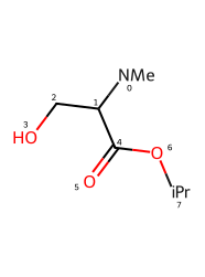 CNC(CO)C(=O)OC(C)C